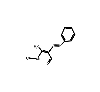 C/C(NN)=C(/C=O)N=Nc1ccccc1